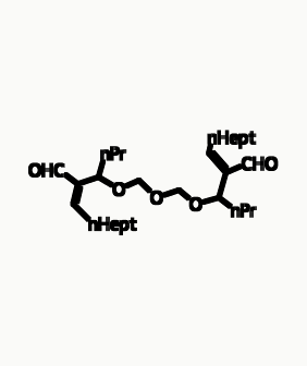 CCCCCCCC=C(C=O)C(CCC)OCOCOC(CCC)C(C=O)=CCCCCCCC